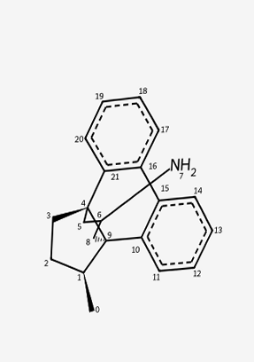 C[C@H]1CC[C@]23CC(N)C[C@]12c1ccccc1-c1ccccc13